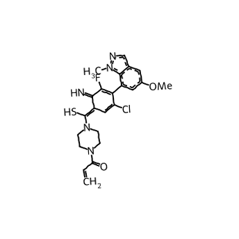 C=CC(=O)N1CCN(/C(S)=C2\C=C(Cl)C(c3cc(OC)cc4cnn(C)c34)=C(F)C2=N)CC1